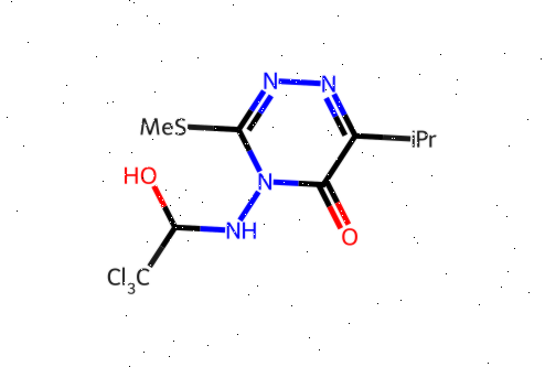 CSc1nnc(C(C)C)c(=O)n1NC(O)C(Cl)(Cl)Cl